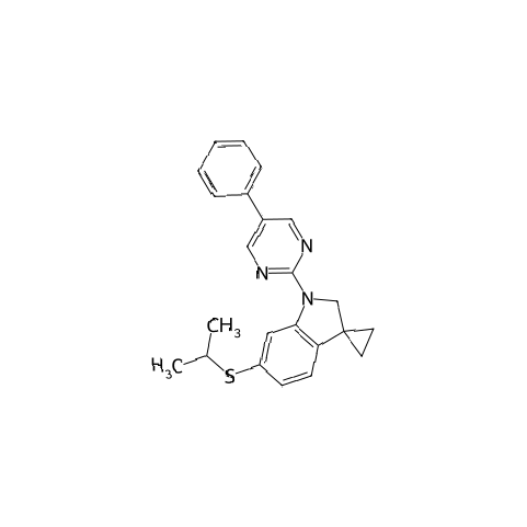 CC(C)Sc1ccc2c(c1)N(c1ncc(-c3ccccc3)cn1)CC21CC1